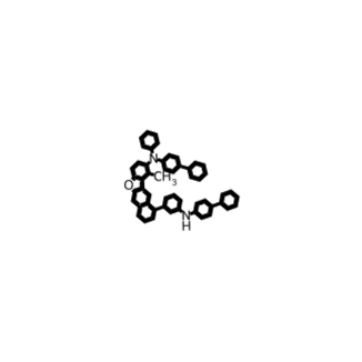 Cc1c(N(c2ccccc2)c2ccc(-c3ccccc3)cc2)ccc2oc3cc4cccc(-c5cccc(Nc6ccc(-c7ccccc7)cc6)c5)c4cc3c12